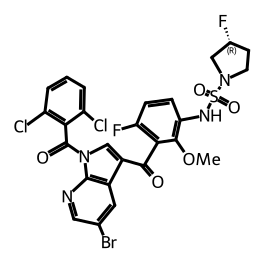 COc1c(NS(=O)(=O)N2CC[C@@H](F)C2)ccc(F)c1C(=O)c1cn(C(=O)c2c(Cl)cccc2Cl)c2ncc(Br)cc12